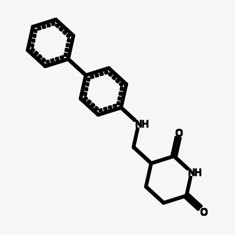 O=C1CCC(CNc2ccc(-c3ccccc3)cc2)C(=O)N1